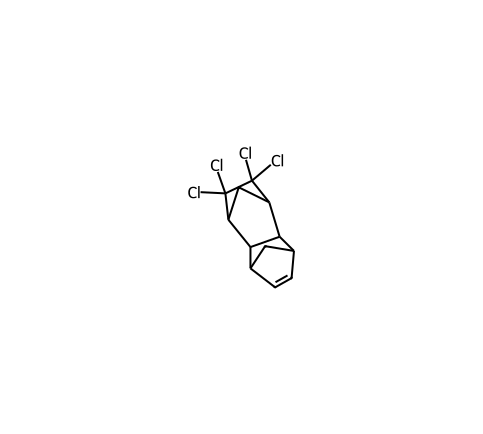 ClC1(Cl)C2CC(C3C4C=CC(C4)C32)C1(Cl)Cl